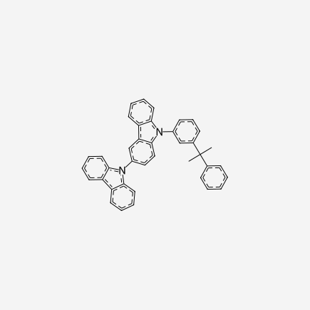 CC(C)(c1ccccc1)c1cccc(-n2c3ccccc3c3cc(-n4c5ccccc5c5ccccc54)ccc32)c1